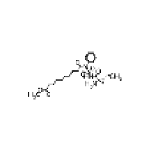 C=C[C@@H]1C[C@]1(N)C(=O)NS(=O)(=O)N(C(=O)CCCCCCCCC(=O)OC)c1ccccc1